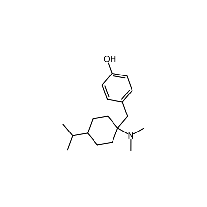 CC(C)C1CCC(Cc2ccc(O)cc2)(N(C)C)CC1